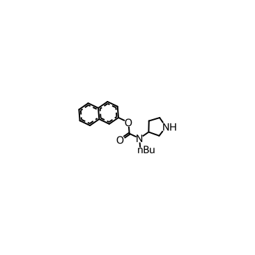 CCCCN(C(=O)Oc1ccc2ccccc2c1)C1CCNC1